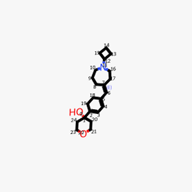 OC1(C2=CC=C(/C=C3\CCCN(C4CCC4)CC3)CC2)CCOCC1